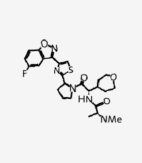 CN[C@@H](C)C(=O)N[C@H](C(=O)N1CCCC1c1nc(-c2noc3ccc(F)cc23)cs1)C1CCOCC1